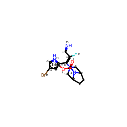 CC(C)(C)OC(=O)N1C2CCC1CN(/C(=C(\F)C=N)c1cc(Br)c[nH]1)C2